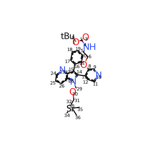 CC(C)(C)OC(=O)NCCOc1cnccc1-c1c(-c2ccccc2)c2ncccc2n1COCC[Si](C)(C)C